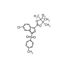 Cc1ccc(S(=O)(=O)n2cc(B3OC(C)(C)C(C)(C)O3)c3ccc(Cl)cc32)cc1